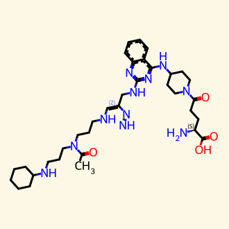 CC(=O)N(CCCN/C=C(/CNc1nc(NC2CCN(C(=O)CC[C@H](N)C(=O)O)CC2)c2ccccc2n1)N=N)CCCNC1CCCCC1